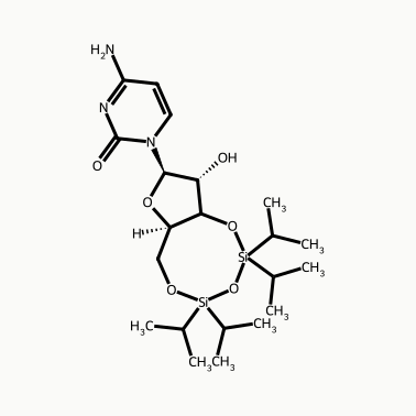 CC(C)[Si]1(C(C)C)OC[C@H]2O[C@@H](n3ccc(N)nc3=O)[C@H](O)C2O[Si](C(C)C)(C(C)C)O1